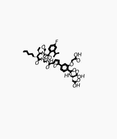 CCCCC[C@@H](C(=O)NCNC(=O)c1ccc(-c2ccc(C(=O)N[C@@H](CC(=O)O)C(=O)O)c(OCC(=O)O)c2)o1)[C@@H](CC)N(C=O)OC(=O)c1ccc(F)cc1C(C)C